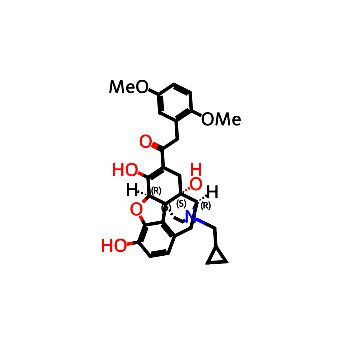 COc1ccc(OC)c(CC(=O)C2=C(O)[C@@H]3Oc4c(O)ccc5c4[C@@]34CCN(CC3CC3)[C@H](C5)[C@]4(O)C2)c1